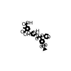 Cc1c(C(=O)O)ccc(Oc2ccc(NC(=O)C(OC3CCOCC3)c3ccc(S(=O)(=O)C4CC4)cc3)nc2)c1C(=O)O